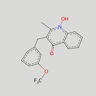 Cc1c(Cc2cccc(OC(F)(F)F)c2)c(=O)c2ccccc2n1O